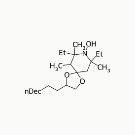 CCCCCCCCCCCCC1COC2(CC(C)(CC)N(O)C(C)(CC)C2C)O1